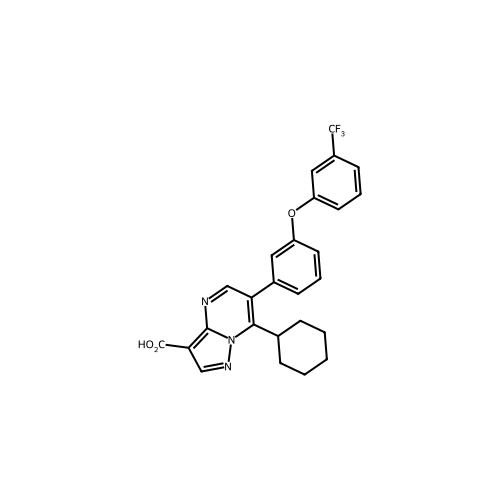 O=C(O)c1cnn2c(C3CCCCC3)c(-c3cccc(Oc4cccc(C(F)(F)F)c4)c3)cnc12